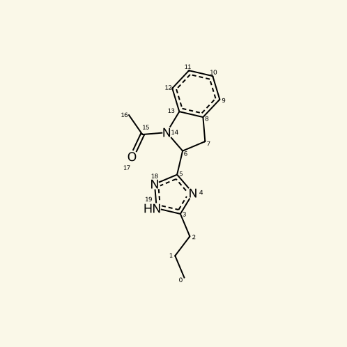 CCCc1nc(C2Cc3ccccc3N2C(C)=O)n[nH]1